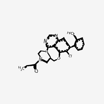 C=CC(=O)N1CCN2c3ncnc4cc(-c5ccccc5O)c(Cl)c(c34)OCC2C1